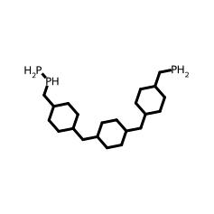 PCC1CCC(CC2CCC(CC3CCC(CPP)CC3)CC2)CC1